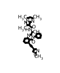 Cc1cc(C)n2nc(C)c(C(=O)NC(C)c3nc4cccc(C#Cc5cnn(C)c5)c4c(=O)n3-c3ccccc3)c2n1